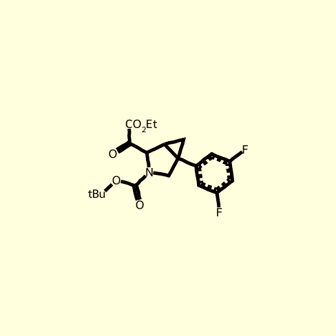 CCOC(=O)C(=O)C1C2CC2(c2cc(F)cc(F)c2)CN1C(=O)OC(C)(C)C